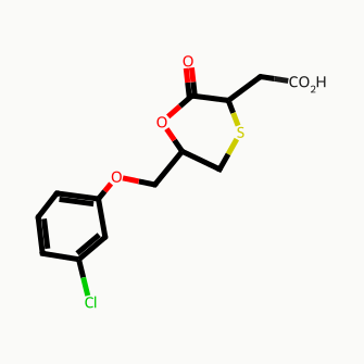 O=C(O)CC1SCC(COc2cccc(Cl)c2)OC1=O